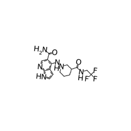 NC(=O)c1cnc2[nH]ccc2c1NN1CCCC(C(=O)NCC(F)(F)F)C1